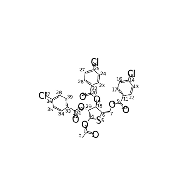 CC(=O)OC1S[C@H](COC(=O)c2ccc(Cl)cc2)[C@H](OC(=O)c2ccc(Cl)cc2)[C@H]1OC(=O)c1ccc(Cl)cc1